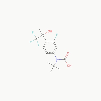 CC(C)(C)N(C(=O)O)c1ccc(C(C)(O)C(F)(F)F)c(F)c1